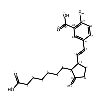 O=C(O)CCCCCCC1C(=O)CCC1C=Cc1ccc(O)c(C(=O)O)c1